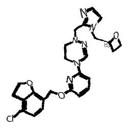 Clc1ccc(COc2cccc(N3C=NN(Cc4nccn4C[C@@H]4CCO4)CC3)n2)c2c1CCO2